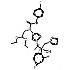 CCOC(CN(C(=O)Nc1ccc(Cl)cc1)c1cnn([C@H](C)[C@](O)(Cn2cncn2)c2ccc(F)cc2F)c1)OCC